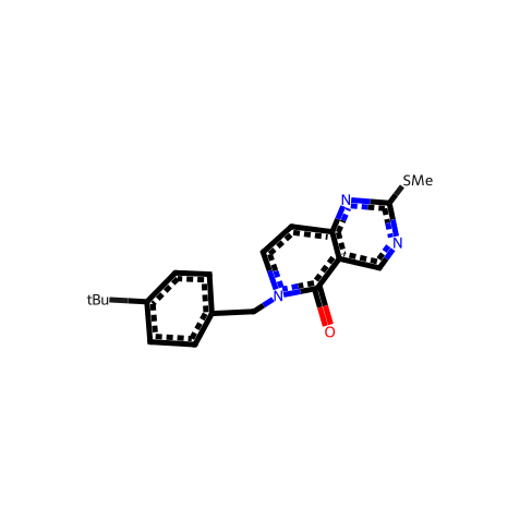 CSc1ncc2c(=O)n(Cc3ccc(C(C)(C)C)cc3)ccc2n1